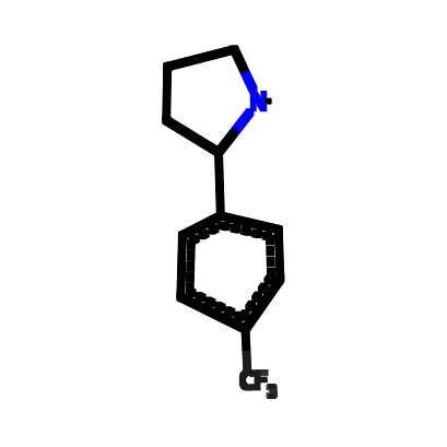 FC(F)(F)c1ccc(C2CCC[N]2)cc1